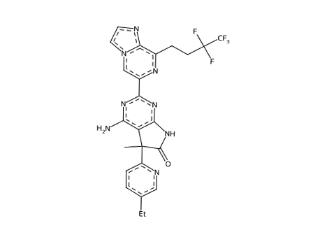 CCc1ccc(C2(C)C(=O)Nc3nc(-c4cn5ccnc5c(CCC(F)(F)C(F)(F)F)n4)nc(N)c32)nc1